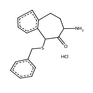 Cl.NC1CCc2ccccc2C(SCc2ccccc2)C1=O